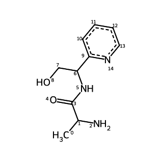 CC(N)C(=O)NC(CO)c1ccccn1